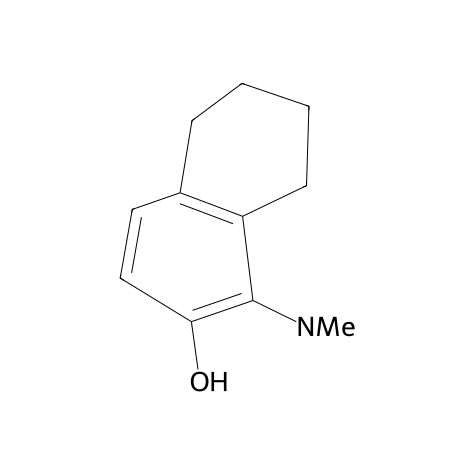 CNc1c(O)ccc2c1CCCC2